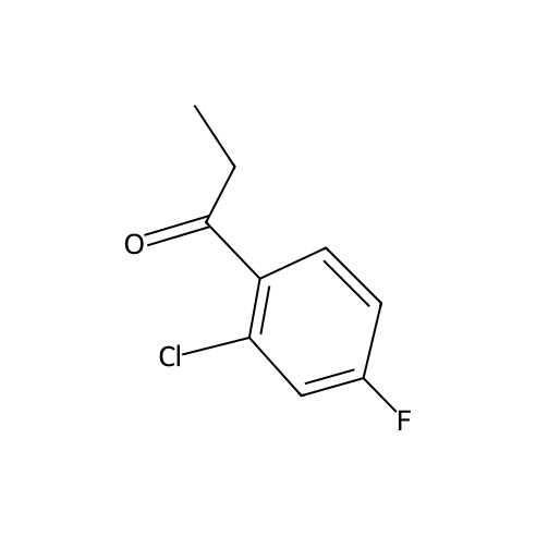 CCC(=O)c1ccc(F)cc1Cl